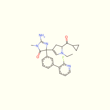 CCN1C=C(C2(c3cccc(-c4cccnc4F)c3)N=C(N)N(C)C2=O)CC1C(=O)C1CC1